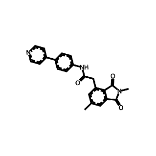 Cc1cc(CC(=O)Nc2ccc(-c3ccncc3)cc2)c2c(c1)C(=O)N(C)C2=O